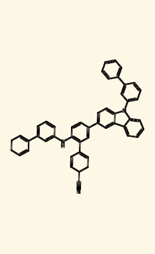 N#CC1C=CC(c2cc(-c3ccc4c(c3)c3ccccc3n4-c3cccc(-c4ccccc4)c3)ccc2Nc2cccc(C3=CCCC=C3)c2)=CC1